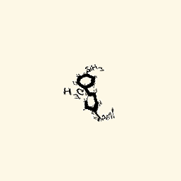 CCCCC[C@H]1CC[C@H]([C@]2(C)CC[C@@H]([SiH3])CC2)CC1